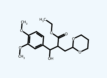 CCOC(=O)C(CC1OCCCO1)C(O)c1ccc(OC)c(OC)c1